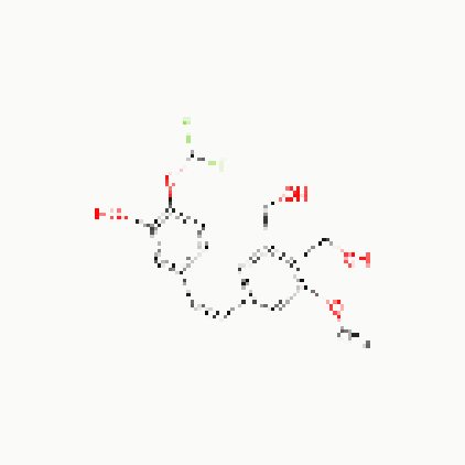 COc1cc(/C=C\c2ccc(OC(F)F)c(O)c2)cc(CO)c1CO